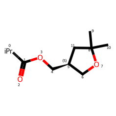 CC(C)C(=O)OC[C@@H]1COC(C)(C)C1